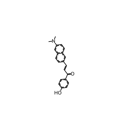 CN(C)c1ccc2cc(C=CC(=O)c3ccc(O)cc3)ccc2c1